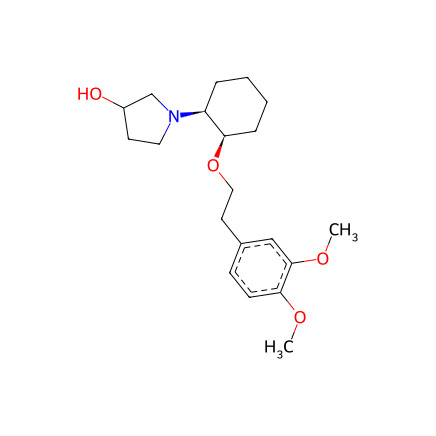 COc1ccc(CCO[C@@H]2CCCC[C@@H]2N2CCC(O)C2)cc1OC